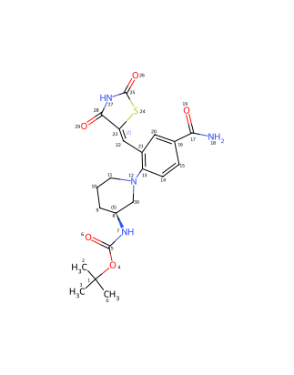 CC(C)(C)OC(=O)N[C@H]1CCCN(c2ccc(C(N)=O)cc2/C=C2\SC(=O)NC2=O)C1